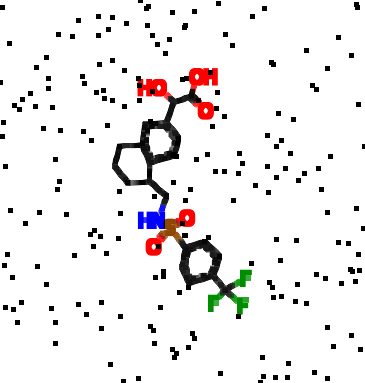 O=C(O)C(O)c1ccc2c(c1)CCCC2CNS(=O)(=O)c1ccc(C(F)(F)F)cc1